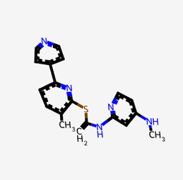 C=C(Nc1cc(NC)ccn1)Sc1nc(-c2ccncc2)ccc1C